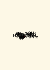 CO[C@H]1OC(COC(=O)CCC(=O)O[C@@H]2[C@@]3(C(C)C)O[C@H]3[C@@H]3O[C@@]34[C@@]3(C)CCC5=C(COC5=O)[C@@H]3CC3O[C@]324)[C@@H](O)C(O)[C@@H]1O